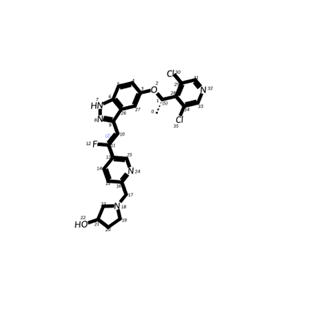 C[C@H](Oc1ccc2[nH]nc(/C=C(\F)c3ccc(CN4CCC(O)C4)nc3)c2c1)c1c(Cl)cncc1Cl